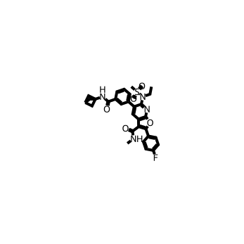 CCN(c1nc2oc(-c3ccc(F)cc3)c(C(=O)NC)c2cc1-c1cccc(C(=O)NC23CC(C2)C3)c1)S(C)(=O)=O